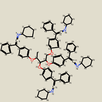 CC(Oc1ccc(C(=C=NC2CCCCC2)c2ccccc2)cc1)C(Oc1ccc(C(=C=NC2CCCCC2)c2ccccc2)cc1)C(COc1ccc(C(=C=NC2CCCCC2)c2ccccc2)cc1)Oc1ccc(C(=C=NC2CCCCC2)c2ccccc2)cc1